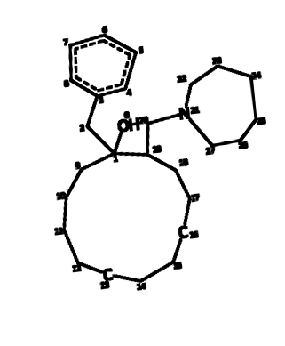 OC1(Cc2ccccc2)CCCCCCCCCCC1CN1CCCCCC1